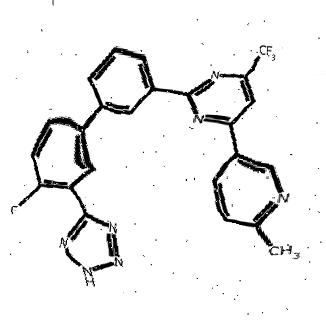 Cc1ccc(-c2cc(C(F)(F)F)nc(-c3cccc(-c4ccc(F)c(-c5nn[nH]n5)c4)c3)n2)cn1